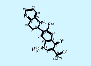 Cn1cc(C(=O)O)c(=O)c2cc(F)c(C3CCc4ncccc4N3)cc21